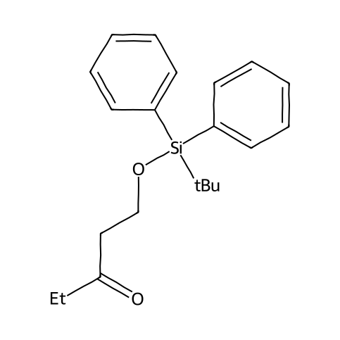 CCC(=O)CCO[Si](c1ccccc1)(c1ccccc1)C(C)(C)C